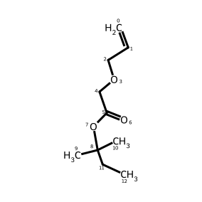 C=CCOCC(=O)OC(C)(C)CC